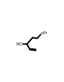 C=CC(C#N)[CH]CCCC